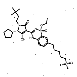 CCOP1(=O)N=C(C2=C(O)[C@H](C3CCCC3)N(CCC(C)(C)C)C2=O)Nc2ccc(CCCCCS(C)(=O)=O)cc21